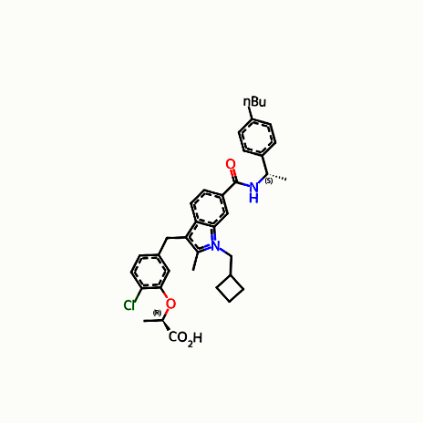 CCCCc1ccc([C@H](C)NC(=O)c2ccc3c(Cc4ccc(Cl)c(O[C@H](C)C(=O)O)c4)c(C)n(CC4CCC4)c3c2)cc1